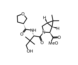 COC(=O)[C@@H]1[C@@H]2[C@H](CN1C(=O)[C@@H](NC(=O)[C@@H]1CCOC1)C(C)(C)CO)C2(C)C